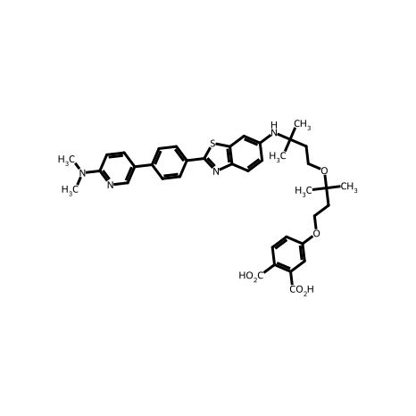 CN(C)c1ccc(-c2ccc(-c3nc4ccc(NC(C)(C)CCOC(C)(C)CCOc5ccc(C(=O)O)c(C(=O)O)c5)cc4s3)cc2)cn1